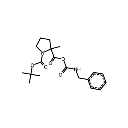 CC(C)(C)OC(=O)N1CCCC1(C)C(=O)OC(=O)NCc1ccccc1